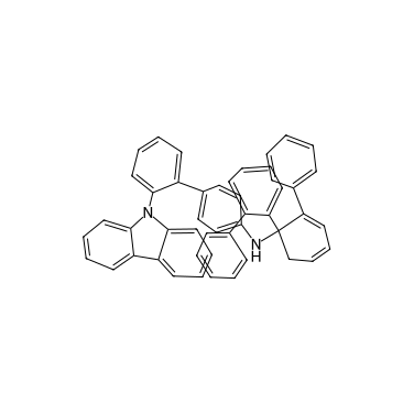 C1=CCC(Nc2ccc(-c3ccccc3-n3c4ccccc4c4ccccc43)cc2)(c2ccccc2-c2ccccc2)C(c2ccccc2)=C1